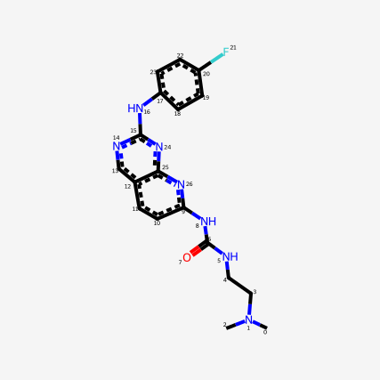 CN(C)CCNC(=O)Nc1ccc2cnc(Nc3ccc(F)cc3)nc2n1